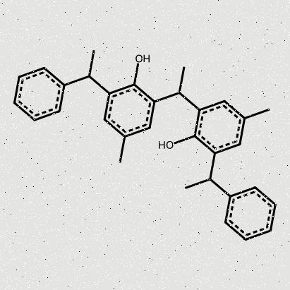 Cc1cc(C(C)c2ccccc2)c(O)c(C(C)c2cc(C)cc(C(C)c3ccccc3)c2O)c1